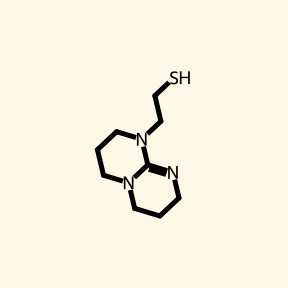 SCCN1CCCN2CCCN=C12